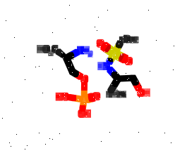 CCCCCCCCCCS(=O)(=O)NC(CO)CCCCCC.N[C@@H](COP(=O)(O)O)C(=O)O